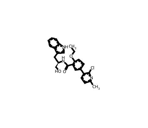 CCOc1ccc(-c2ccc(C)nc2Cl)cc1C(=O)N[C@@H](CO)Cc1c[nH]c2ccccc12